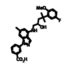 COc1ccc(F)cc1C(C)(C)C[C@@H](O)CNc1cc(C)cc2c1cnn2-c1cccc(C(=O)O)c1